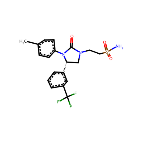 Cc1ccc(N2C(=O)N(CCS(N)(=O)=O)C[C@@H]2c2cccc(C(F)(F)F)c2)cc1